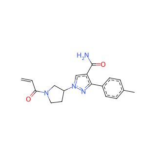 C=CC(=O)N1CCC(n2cc(C(N)=O)c(-c3ccc(C)cc3)n2)C1